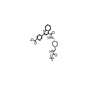 COC(=O)c1ccc(-c2cc(C(=O)NC[C@H]3CC[C@H](CNC(=O)OC(C)(C)C)CC3)c3ccccc3n2)cc1